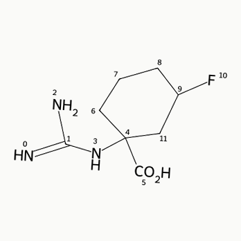 N=C(N)NC1(C(=O)O)CCCC(F)C1